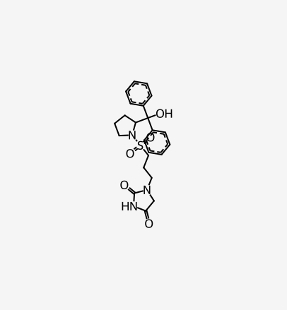 O=C1CN(CCCS(=O)(=O)N2CCCC2C(O)(c2ccccc2)c2ccccc2)C(=O)N1